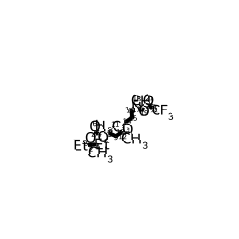 CCC(C)(CC)OC(=O)OCCC(C)(C)OCCCN(C)OC(=O)C(F)(F)F